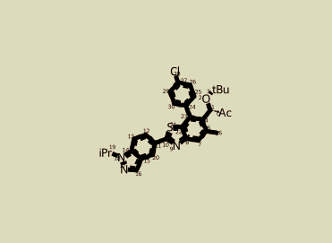 CC(=O)[C@@H](OC(C)(C)C)c1c(C)cc2nc(-c3ccc4c(cnn4C(C)C)c3)sc2c1-c1ccc(Cl)cc1